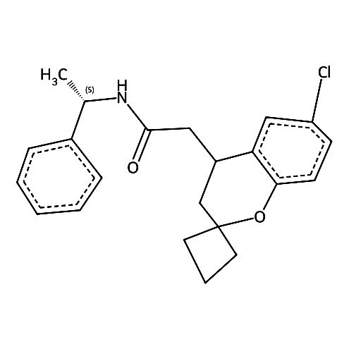 C[C@H](NC(=O)CC1CC2(CCC2)Oc2ccc(Cl)cc21)c1ccccc1